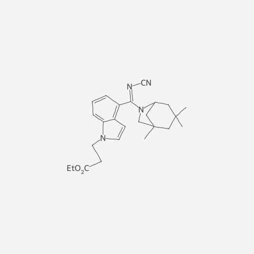 CCOC(=O)CCn1ccc2c(/C(=N/C#N)N3CC4(C)CC3CC(C)(C)C4)cccc21